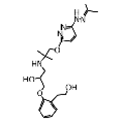 CC(C)=NNc1ccc(OCC(C)(C)NCC(O)COc2ccccc2CCO)nn1